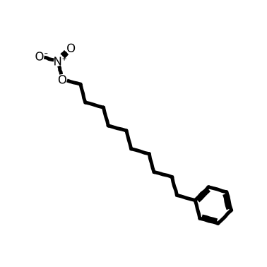 O=[N+]([O-])OCCCCCCCCCCc1ccccc1